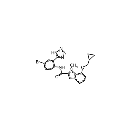 Cn1c(C(=O)Nc2ccc(Br)cc2-c2nnn[nH]2)cc2cccc(OCC3CC3)c21